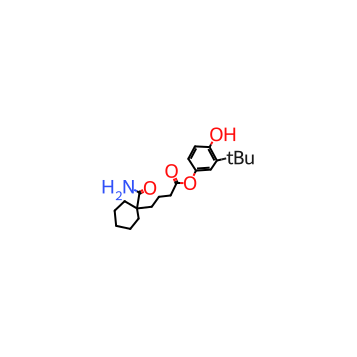 CC(C)(C)c1cc(OC(=O)CCCC2(C(N)=O)CCCCC2)ccc1O